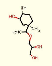 CC(C)[C@@H]1CC[C@@](C)(C([C]=O)OCC(O)CO)C[C@H]1O